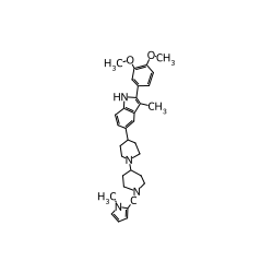 COc1ccc(-c2[nH]c3ccc(C4CCN(C5CCN(Cc6cccn6C)CC5)CC4)cc3c2C)cc1OC